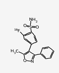 Cc1onc(-c2ccccc2)c1-c1ccc(S(N)(=O)=O)c([18F])c1